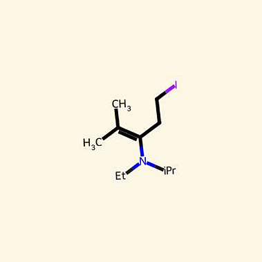 CCN(C(CCI)=C(C)C)C(C)C